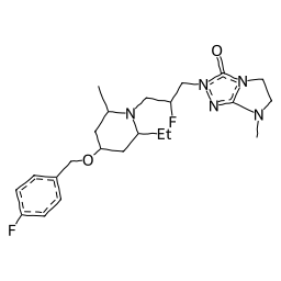 CCC1CC(OCc2ccc(F)cc2)CC(C)N1CC(F)Cn1nc2n(c1=O)CCN2C